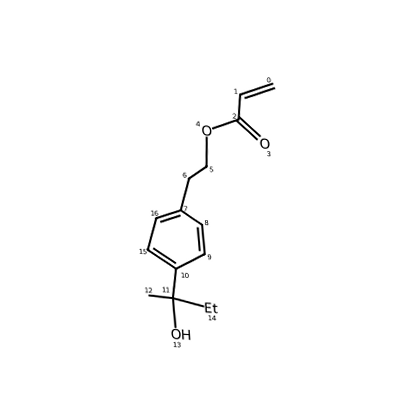 C=CC(=O)OCCc1ccc(C(C)(O)CC)cc1